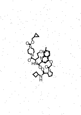 Cc1ccc2c(O[C@H](C)C(=O)N3CCCC3C(=O)NC3CCC3)cc(C(=O)NC(CCO)C(=O)N3CCN(C(=O)OCC4CC4)CC3)nc2c1